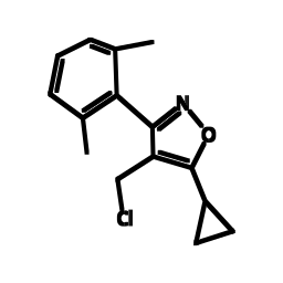 Cc1cccc(C)c1-c1noc(C2CC2)c1CCl